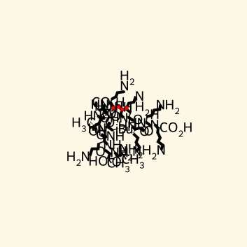 CC[C@H](C)[C@H](NC(=O)[C@H](CCCCN)NC(=O)[C@@H](NC(=O)[C@H](C)N)[C@@H](C)O)C(=O)N[C@H](C(=O)N[C@@H](CC(=O)O)C(=O)N[C@@H](CCCCN)C(=O)N[C@@H](CCCCN)C(=O)N[C@@H](CCCCN)C(=O)N[C@@H](CCCCN)C(=O)N[C@@H](CCCCN)C(=O)N[C@@H](CCCCN)C(=O)O)[C@@H](C)O